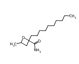 CCCCCCCCCCC1(C(N)=O)CC(C)O1